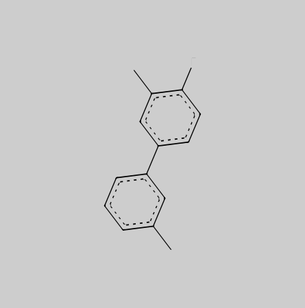 Cc1cccc(-c2ccc(F)c(C)c2)c1